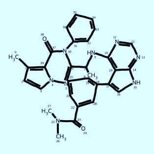 Cc1ccn2nc(C(C)Nc3ncnc4[nH]cc(-c5cccc(C(=O)N(C)C)c5)c34)n(-c3ccccc3)c(=O)c12